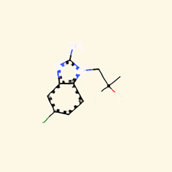 CC(C)(O)Cn1c(N)nc2cc(Cl)ccc21